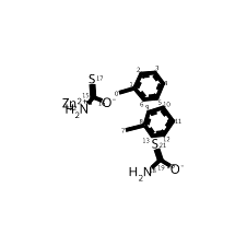 Cc1ccccc1.Cc1ccccc1.NC([O-])=S.NC([O-])=S.[Zn+2]